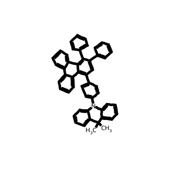 CC1(C)c2ccccc2N(c2ccc(-c3cc(-c4ccccc4)c(-c4ccccc4)c4c5ccccc5c5ccccc5c34)cc2)c2ccccc21